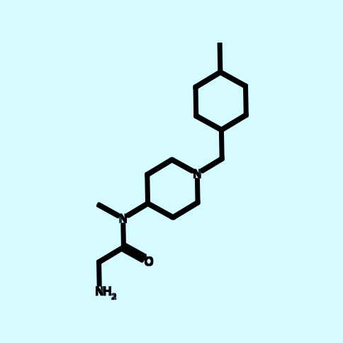 CC1CCC(CN2CCC(N(C)C(=O)CN)CC2)CC1